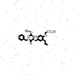 C=CCc1cc(C[C@H](NC(=O)OC(C)(C)C)C(=O)OCc2ccccc2)ccc1OCC(=O)OCC